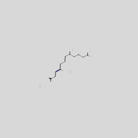 COC(=O)C/C=C(\C)CCCC(C)CCCC(C)C